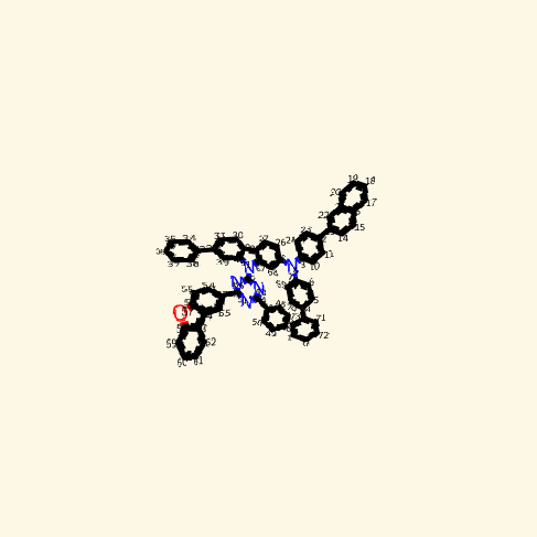 c1ccc(-c2ccc(N(c3ccc(-c4ccc5ccccc5c4)cc3)c3ccc4c5ccc(-c6ccccc6)cc5n(-c5nc(-c6ccccc6)nc(-c6ccc7oc8ccccc8c7c6)n5)c4c3)cc2)cc1